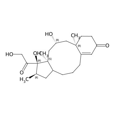 C[C@@H]1CC2CCCC3=CC(=O)CC[C@]3(C)C[C@@H](O)C[C@]2(C)[C@@]1(O)C(=O)CO